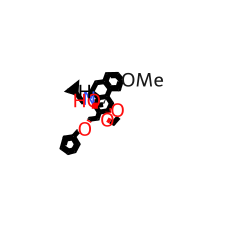 COc1ccc2c(c1)[C@]13CCN(CC4CC4)[C@H](C2)[C@]1(O)CC(CCOCc1ccccc1)C1(C3)OCCO1